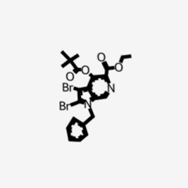 CCOC(=O)c1ncc2c(c(Br)c(Br)n2Cc2ccccc2)c1OC(=O)C(C)(C)C